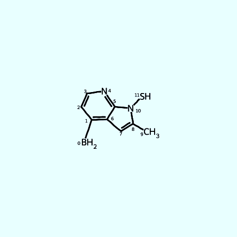 Bc1ccnc2c1cc(C)n2S